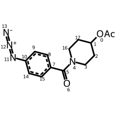 CC(=O)OC1CCN(C(=O)c2ccc(N=[N+]=[N-])cc2)CC1